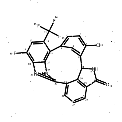 O=C1NC2c3cc(ccc3Cl)-c3c(C(F)(F)F)cc(F)c4nc([nH]c34)-c3cccc1c32